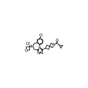 O=C(C1CC1)N1CC2(CC(c3nnc4n3-c3ccc(Cl)cc3CN(C3(C(F)(F)F)COC3)C4)C2)C1